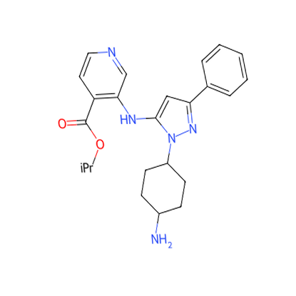 CC(C)OC(=O)c1ccncc1Nc1cc(-c2ccccc2)nn1C1CCC(N)CC1